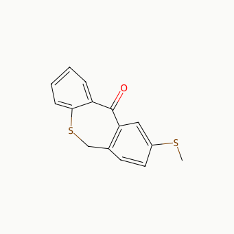 CSc1ccc2c(c1)C(=O)c1ccccc1SC2